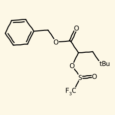 CC(C)(C)CC(OS(=O)C(F)(F)F)C(=O)OCc1ccccc1